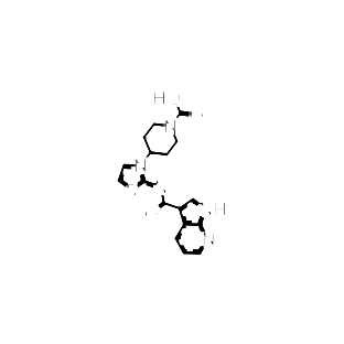 O=C(N=c1sccn1C1CCN(C(=O)O)CC1)c1c[nH]c2ncccc12